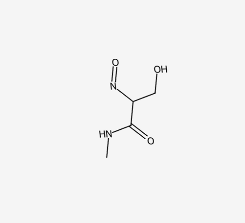 CNC(=O)C(CO)N=O